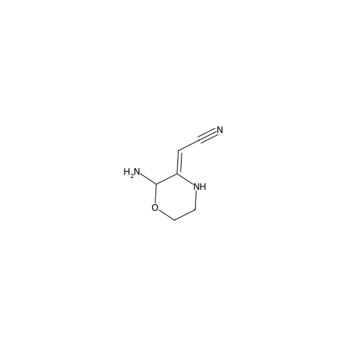 N#CC=C1NCCOC1N